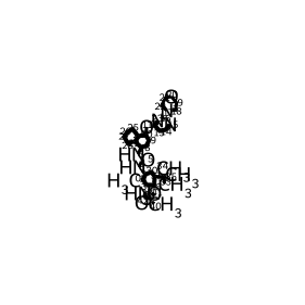 Cc1c(NC(=O)Nc2ccc(Oc3ccnc(N4CCOCC4)n3)c3ccccc23)cc(C(C)(C)C)cc1NS(C)(=O)=O